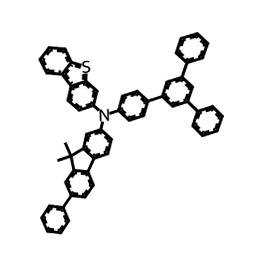 CC1(C)c2cc(-c3ccccc3)ccc2-c2ccc(N(c3ccc(-c4cc(-c5ccccc5)cc(-c5ccccc5)c4)cc3)c3ccc4c(c3)sc3ccccc34)cc21